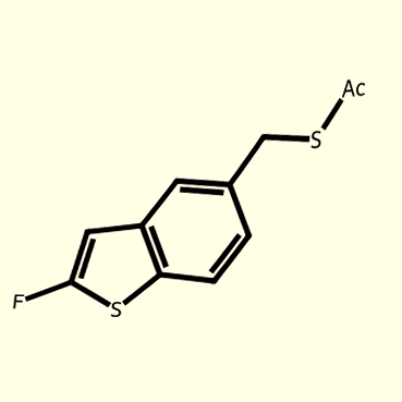 CC(=O)SCc1ccc2sc(F)cc2c1